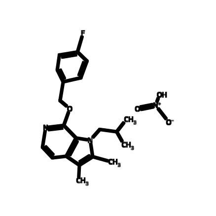 Cc1c(C)n(CC(C)C)c2c(OCc3ccc(F)cc3)nccc12.O=[N+]([O-])O